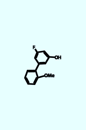 COc1ccccc1-c1cc(O)cc(F)c1